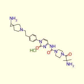 CC(C)(N)C(=O)N1CCN(C(=O)Nc2ccn(-c3ccc(CCN4CCC5(CC4)CC5N)cc3)c(=O)n2)CC1.Cl